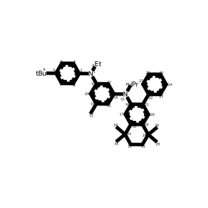 CCN(c1ccc(C(C)(C)C)cc1)c1cc(C)cc(N(c2cc3c(cc2-c2ccccc2)C(C)(C)CCC3(C)C)C(C)C)c1